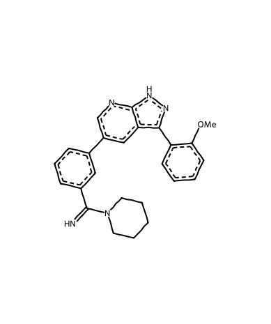 COc1ccccc1-c1n[nH]c2ncc(-c3cccc(C(=N)N4CCCCC4)c3)cc12